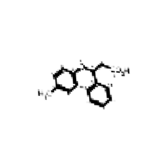 Cc1ccc(OC(CC(=O)O)c2ccccc2)cc1